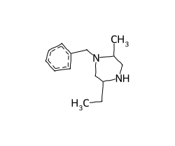 CCC1CN(Cc2ccccc2)C(C)CN1